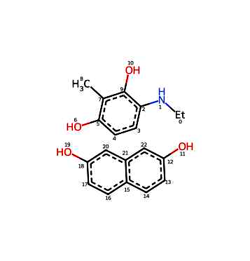 CCNc1ccc(O)c(C)c1O.Oc1ccc2ccc(O)cc2c1